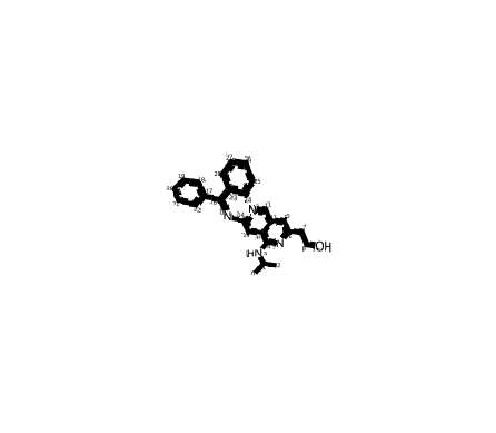 CC(C)Nc1nc(CCO)cc2cnc(N=C(c3ccccc3)c3ccccc3)cc12